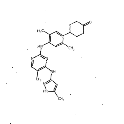 Cc1cc(Nc2nc(Nc3cc(C)c(C4CCC(=O)CC4)cc3C)ncc2C(F)(F)F)n[nH]1